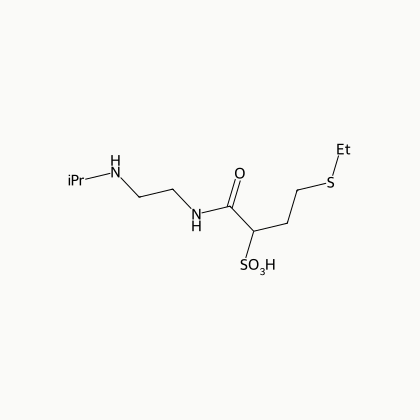 CCSCCC(C(=O)NCCNC(C)C)S(=O)(=O)O